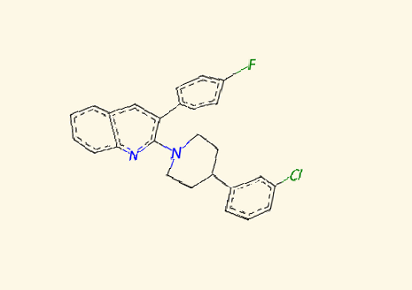 Fc1ccc(-c2cc3ccccc3nc2N2CCC(c3cccc(Cl)c3)CC2)cc1